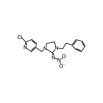 O=[N+]([O-])/N=C1\N(CCc2ccccc2)CCN1Cc1ccc(Cl)nc1